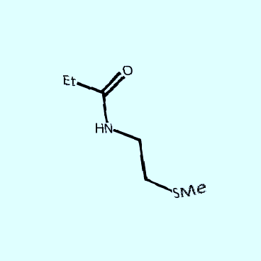 CCC(=O)NCCSC